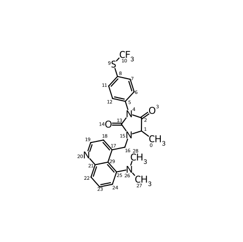 CC1C(=O)N(c2ccc(SC(F)(F)F)cc2)C(=O)N1Cc1ccnc2cccc(N(C)C)c12